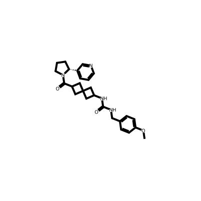 COc1ccc(CNC(=O)NC2CC3(C2)CC(C(=O)N2CCC[C@@H]2c2cccnc2)C3)cc1